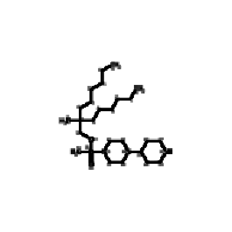 CCCCCCC(C)(CCCCCC)COP(C)(=O)N1CCN(C2CCNCC2)CC1